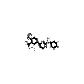 CC(C)Oc1ccc(-c2ccnc(Nc3ccccc3)n2)cc1C(N)=O